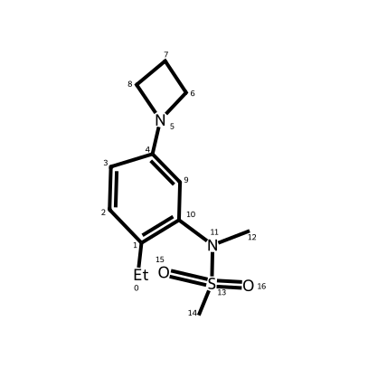 CCc1ccc(N2CCC2)cc1N(C)S(C)(=O)=O